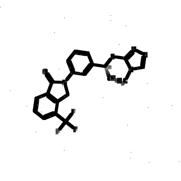 C[C@@H](Sc1nncn1C)c1cccc(N2Cc3c(cccc3C(F)(F)F)C2=O)c1